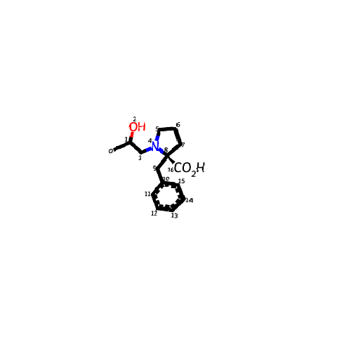 CC(O)CN1CCC[C@@]1(Cc1ccccc1)C(=O)O